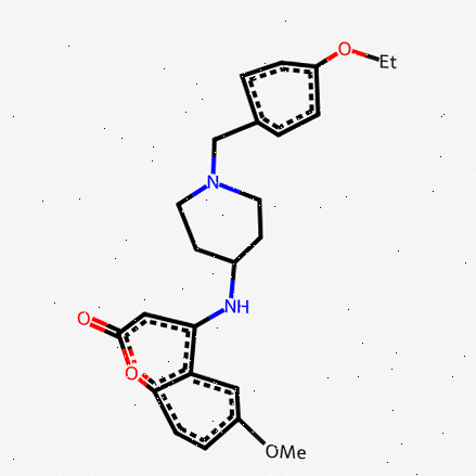 CCOc1ccc(CN2CCC(Nc3cc(=O)oc4ccc(OC)cc34)CC2)cc1